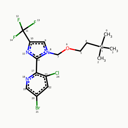 C[Si](C)(C)CCOCn1cc(C(F)(F)F)nc1-c1ncc(Br)cc1Cl